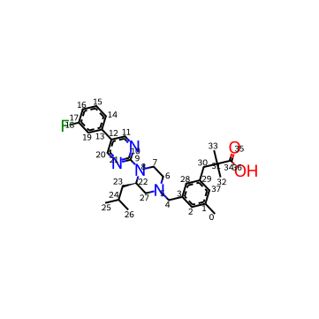 Cc1cc(CN2CCN(c3ncc(-c4cccc(F)c4)cn3)[C@H](CC(C)C)C2)cc(CC(C)(C)C(=O)O)c1